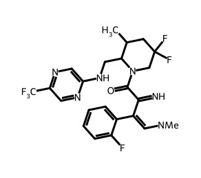 CN/C=C(\C(=N)C(=O)N1CC(F)(F)CC(C)C1CNc1cnc(C(F)(F)F)cn1)c1ccccc1F